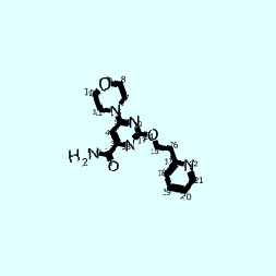 NC(=O)c1cc(N2CCOCC2)nc(OCCc2ccccn2)n1